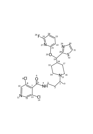 CC(CCNC(=O)c1c(Cl)cncc1Cl)N1CCC(C(Oc2cccc(F)n2)c2nccs2)CC1